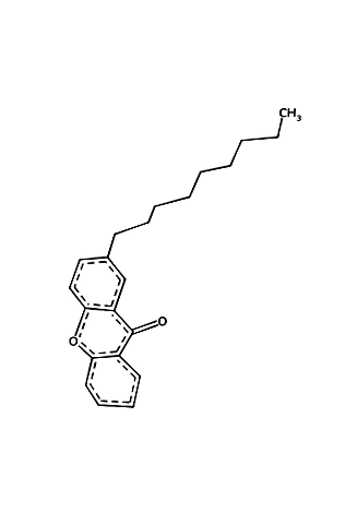 CCCCCCCCCc1ccc2oc3ccccc3c(=O)c2c1